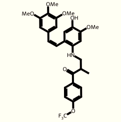 COc1cc(NCC(C)C(=O)c2ccc(OC(F)(F)F)cc2)c(/C=C\c2cc(OC)c(OC)c(OC)c2)cc1O